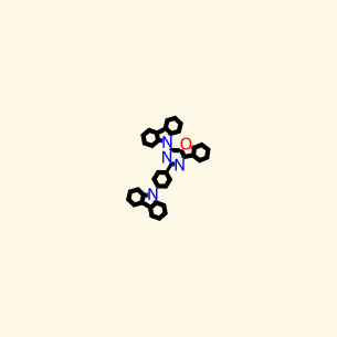 c1ccc2c(c1)oc1c(-n3c4ccccc4c4ccccc43)nc(-c3ccc(-n4c5ccccc5c5ccccc54)cc3)nc12